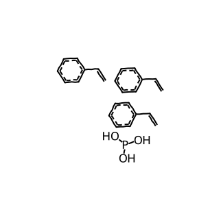 C=Cc1ccccc1.C=Cc1ccccc1.C=Cc1ccccc1.OP(O)O